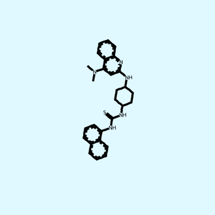 CN(C)c1cc(NC2CCC(NC(=S)Nc3cccc4ccccc34)CC2)nc2ccccc12